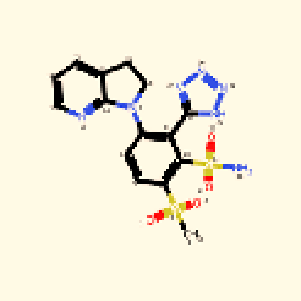 CS(=O)(=O)c1ccc(N2CCc3cccnc32)c(-c2nnn[nH]2)c1S(N)(=O)=O